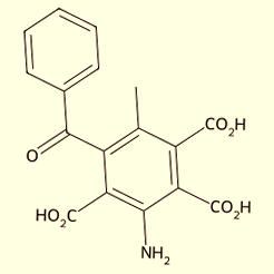 Cc1c(C(=O)O)c(C(=O)O)c(N)c(C(=O)O)c1C(=O)c1ccccc1